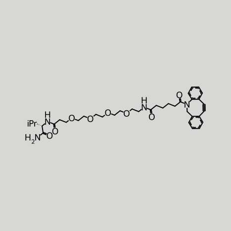 CC(C)[C@H](NC(=O)CCOCCOCCOCCOCCNC(=O)CCCCC(=O)N1Cc2ccccc2C#Cc2ccccc21)C(N)=O